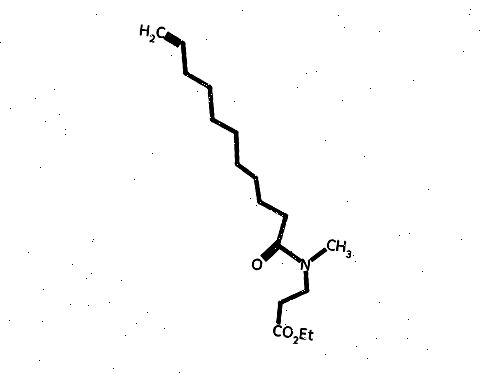 C=CCCCCCCCCC(=O)N(C)CCC(=O)OCC